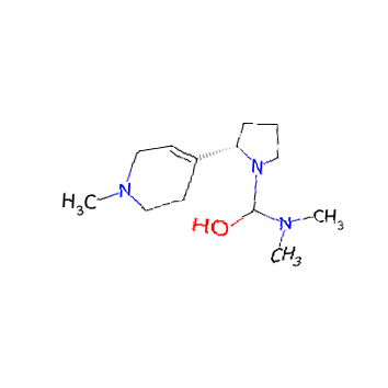 CN1CC=C([C@@H]2CCCN2C(O)N(C)C)CC1